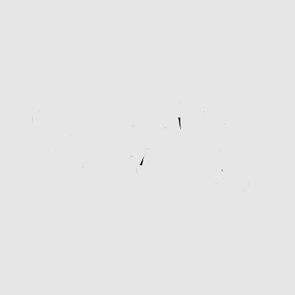 CC[C@@]1(CO)CC[C@H]2[C@@H]3CCc4cc(OC)ccc4[C@H]3CC[C@@]21C